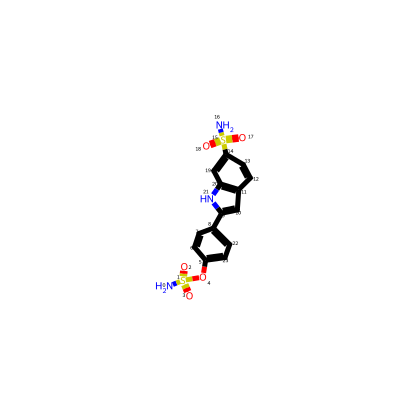 NS(=O)(=O)Oc1ccc(-c2cc3ccc(S(N)(=O)=O)cc3[nH]2)cc1